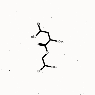 CCCCCCCCCCC(CC(CC)CCCC)C(=O)OCC(CC)CCCC